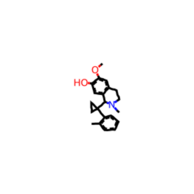 COc1cc2c(cc1O)C(C1(c3ccccc3C)CC1)N(C)CC2